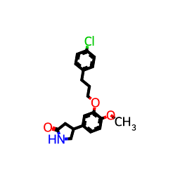 COc1ccc(C2CNC(=O)C2)cc1OCCCc1ccc(Cl)cc1